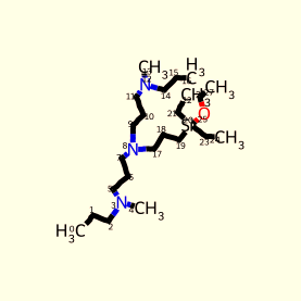 CCCN(C)CCCN(CCCN(C)CCC)CCC[Si](CC)(CC)OCC